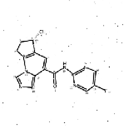 C[C@H]1CCc2c1cc(C(=O)Nc1ncc(F)cn1)c1nncn21